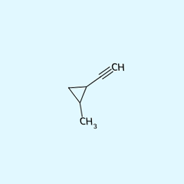 C#CC1CC1C